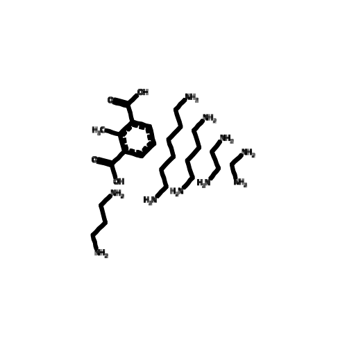 Cc1c(C(=O)O)cccc1C(=O)O.NCCCCCCN.NCCCCN.NCCCN.NCCN.NCN